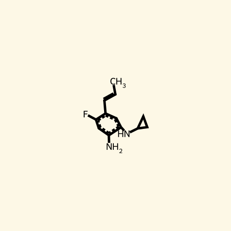 C/C=C/c1cc(NC2CC2)c(N)cc1F